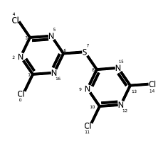 Clc1nc(Cl)nc(Sc2nc(Cl)nc(Cl)n2)n1